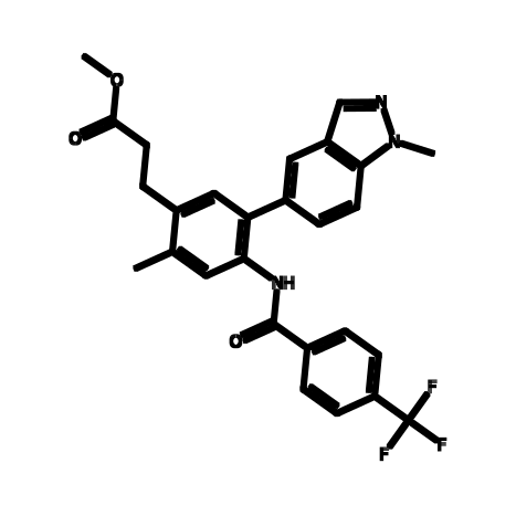 COC(=O)CCc1cc(-c2ccc3c(cnn3C)c2)c(NC(=O)c2ccc(C(F)(F)F)cc2)cc1C